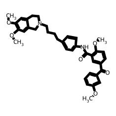 COc1cccc(C(=O)c2ccc(OC)c(C(=O)Nc3ccc(CCCCN4CCc5cc(OC)c(OC)cc5C4)cc3)c2)c1